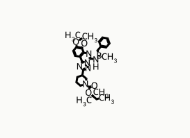 CCC(C)(C)OC(=O)N1CCCC(c2nc3c4ccc5c(c4nc(NB(C)Cc4ccccc4)n3n2)OC(C)(C)O5)C1